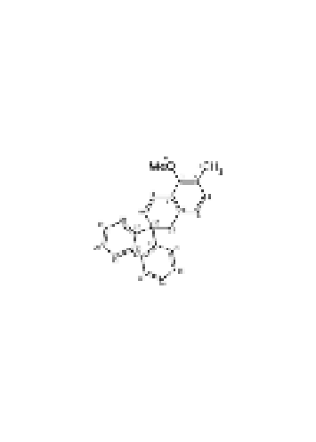 COc1c(C)ccc2c1C=CC(c1ccccc1)(c1ccccc1)C2